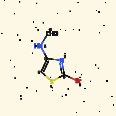 O=CNc1csc(Br)n1